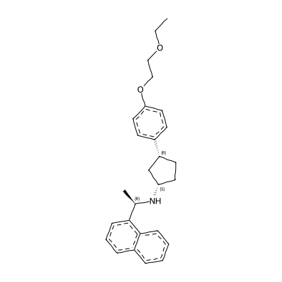 CCOCCOc1ccc([C@@H]2CC[C@H](N[C@H](C)c3cccc4ccccc34)C2)cc1